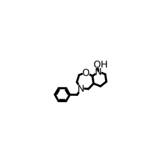 ON1CCCC2CN(Cc3ccccc3)CCOC21